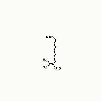 CCCCCCCCCCCCCCC(C=O)=C(C)C